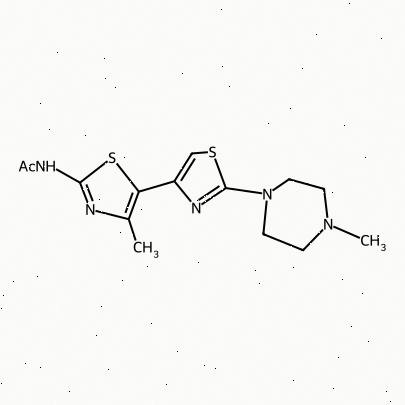 CC(=O)Nc1nc(C)c(-c2csc(N3CCN(C)CC3)n2)s1